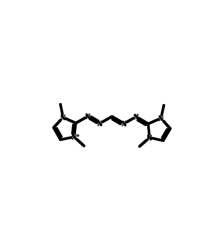 Cn1cc[n+](C)c1/N=N/C=N/N=c1n(C)ccn1C